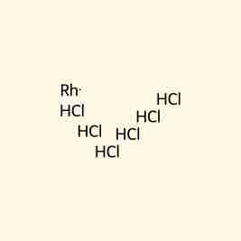 Cl.Cl.Cl.Cl.Cl.Cl.[Rh]